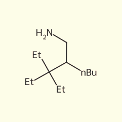 CCCCC(CN)C(CC)(CC)CC